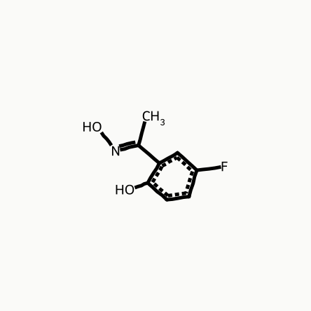 CC(=NO)c1cc(F)ccc1O